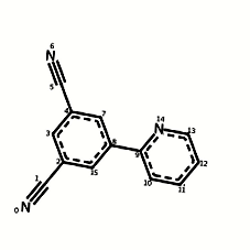 N#Cc1cc(C#N)cc(-c2c[c]ccn2)c1